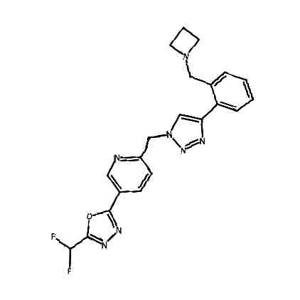 FC(F)c1nnc(-c2ccc(Cn3cc(-c4ccccc4CN4CCC4)nn3)nc2)o1